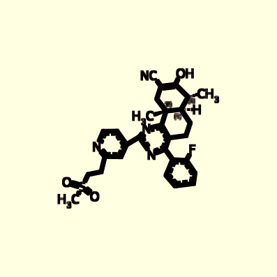 C[C@H]1C(O)=C(C#N)C[C@@]2(C)c3nc(-c4ccnc(CCS(C)(=O)=O)c4)nc(-c4ccccc4F)c3CC[C@H]12